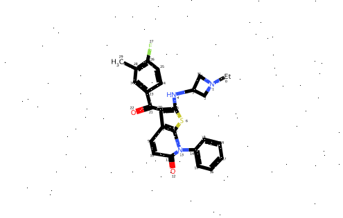 CCN1CC(Nc2sc3c(ccc(=O)n3-c3ccccc3)c2C(=O)c2ccc(F)c(C)c2)C1